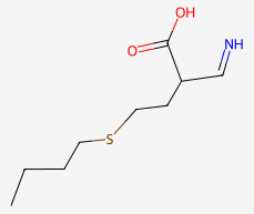 CCCCSCCC(C=N)C(=O)O